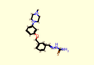 CN1CCN(c2cccc(OCc3cccc(/C=N/NC(N)=S)c3)c2)CC1